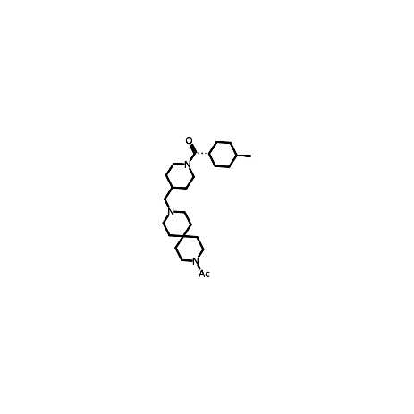 CC(=O)N1CCC2(CCN(CC3CCN(C(=O)[C@H]4CC[C@H](C)CC4)CC3)CC2)CC1